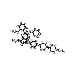 CN1CCN(C2CCN(c3ccc(Nc4nc(NC5CCOCC5)c(-c5ccccc5CO)nc4C(N)=O)cc3)CC2)CC1